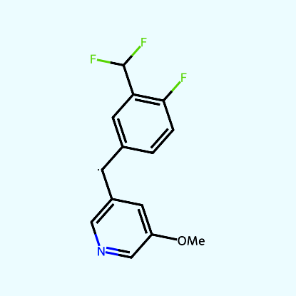 COc1cncc([CH]c2ccc(F)c(C(F)F)c2)c1